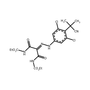 CCOC(=O)NC(=O)C(=NNc1cc(Cl)c(C(C)(C)C#N)c(Cl)c1)C(=O)NC(=O)OCC